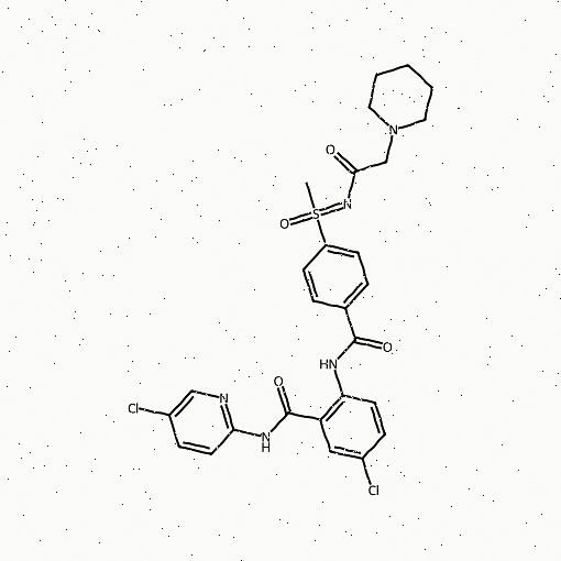 CS(=O)(=NC(=O)CN1CCCCC1)c1ccc(C(=O)Nc2ccc(Cl)cc2C(=O)Nc2ccc(Cl)cn2)cc1